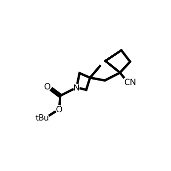 CC1(CC2(C#N)CCC2)CN(C(=O)OC(C)(C)C)C1